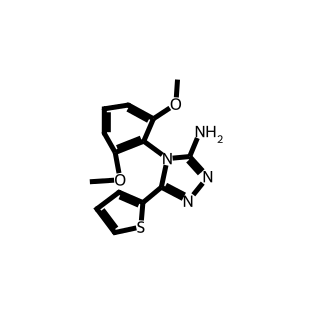 COc1cccc(OC)c1-n1c(N)nnc1-c1cccs1